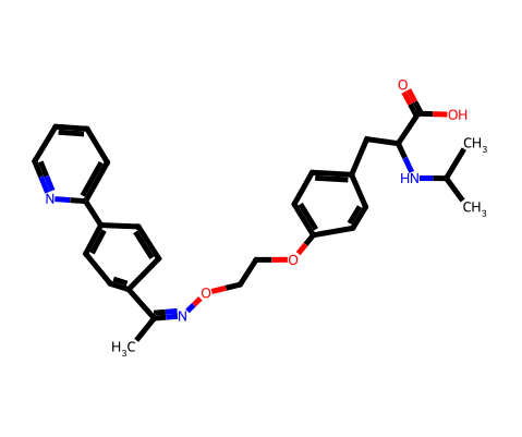 C/C(=N/OCCOc1ccc(CC(NC(C)C)C(=O)O)cc1)c1ccc(-c2ccccn2)cc1